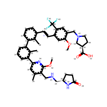 COc1cc(/C=C/c2cccc(-c3cccc(-c4cc(C)c(CNC[C@@H]5CCC(=O)N5)c(OC)n4)c3C)c2C)c(C(F)(F)F)cc1CN1CC[C@@H](C(=O)O)C1